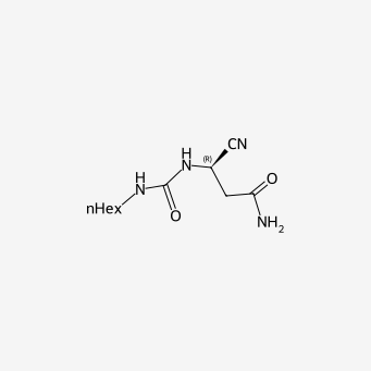 CCCCCCNC(=O)N[C@@H](C#N)CC(N)=O